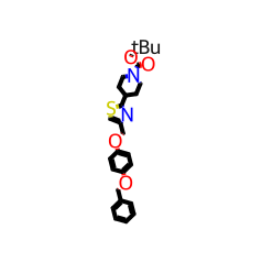 CC(C)(C)OC(=O)N1CCC(c2nc(COc3ccc(OCc4ccccc4)cc3)cs2)CC1